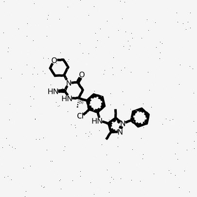 Cc1nn(-c2ccccc2)c(C)c1Nc1cccc([C@]2(C)CC(=O)N(C3CCOCC3)C(=N)N2)c1Cl